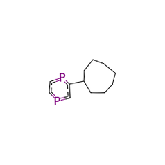 c1cpc(C2CCCCCCC2)cp1